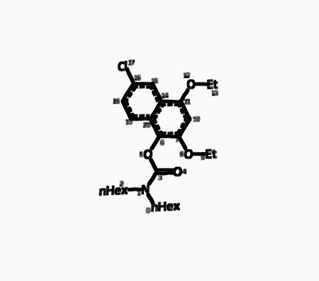 CCCCCCN(CCCCCC)C(=O)Oc1c(OCC)cc(OCC)c2cc(Cl)ccc12